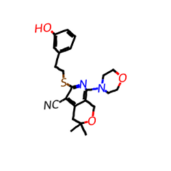 CC1(C)Cc2c(C#N)c(SCCc3cccc(O)c3)nc(N3CCOCC3)c2CO1